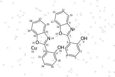 Oc1ccccc1-c1nc2ccccc2o1.Oc1ccccc1-c1nc2ccccc2o1.[Cu]